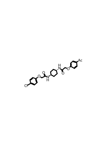 CC(=O)c1ccc(OCC(=O)N[C@H]2CC[C@H](NC(=O)COc3ccc(Cl)cc3)CC2)cc1